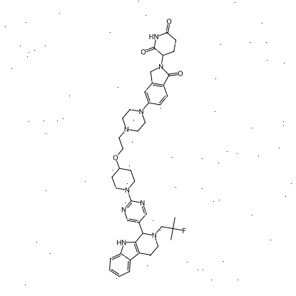 CC(C)(F)CN1CCc2c([nH]c3ccccc23)C1c1cnc(N2CCC(OCCN3CCN(c4ccc5c(c4)CN(C4CCC(=O)NC4=O)C5=O)CC3)CC2)nc1